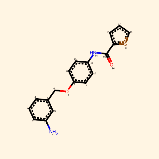 Nc1cccc(COc2ccc(NC(=O)c3cccs3)cc2)c1